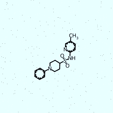 Cc1ccc(NS(=O)(=O)C2CCN(c3ccccc3)CC2)nc1